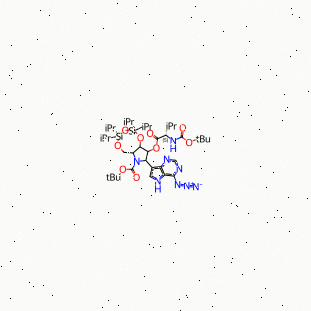 CC(C)[C@H](NC(=O)OC(C)(C)C)C(=O)OC1C2O[Si](C(C)C)(C(C)C)O[Si](C(C)C)(C(C)C)OCC2N(C(=O)OC(C)(C)C)C1c1c[nH]c2c(N=[N+]=[N-])ncnc12